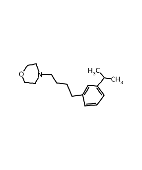 CC(C)c1cccc(CCCCN2CCOCC2)c1